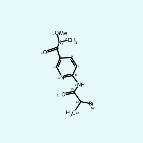 CON(C)C(=O)c1ccc(NC(=O)C(C)Br)nc1